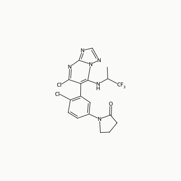 CC(Nc1c(-c2cc(N3CCCC3=O)ccc2Cl)c(Cl)nc2ncnn12)C(F)(F)F